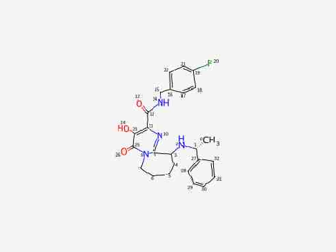 C[C@@H](NC1CCCCn2c1nc(C(=O)NCc1ccc(F)cc1)c(O)c2=O)c1ccccc1